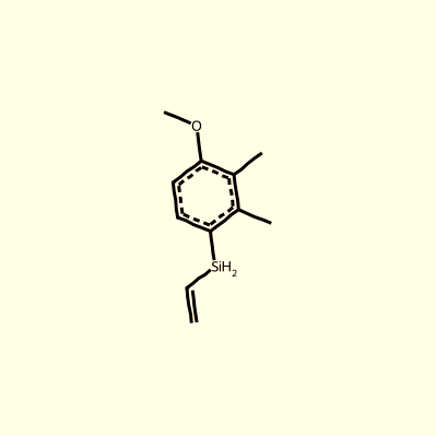 C=C[SiH2]c1ccc(OC)c(C)c1C